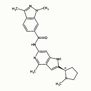 Cc1nc(NC(=O)c2ccc3c(C)nn(C)c3c2)cc2[nH]c([C@H]3CCCN3C)cc12